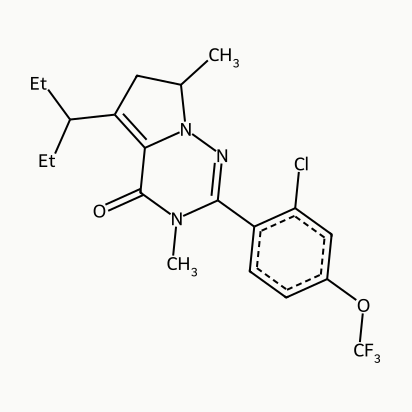 CCC(CC)C1=C2C(=O)N(C)C(c3ccc(OC(F)(F)F)cc3Cl)=NN2C(C)C1